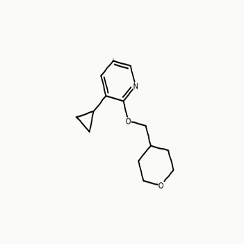 [c]1cnc(OCC2CCOCC2)c(C2CC2)c1